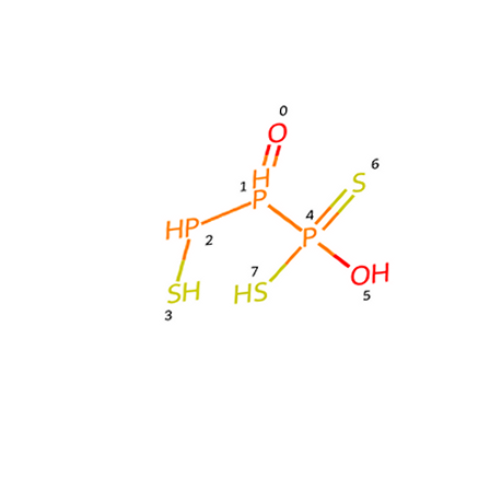 O=[PH](PS)P(O)(=S)S